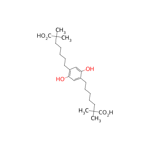 CC(C)(CCCCCc1cc(O)c(CCCCCC(C)(C)C(=O)O)cc1O)C(=O)O